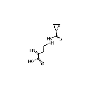 N=C(CCNNC(=O)C1CC1)C(=O)O